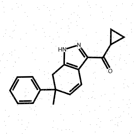 CC1(c2ccccc2)C=Cc2c(C(=O)C3CC3)n[nH]c2C1